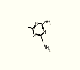 Cc1nc(C)nc(N)n1.N